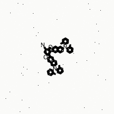 Cc1ccccc1N(c1ccc2cc3c(cc2c1)oc1cc(C#N)c2oc4cc5cc(N(c6ccccc6C)c6ccccc6C)ccc5cc4c2c13)c1ccccc1C